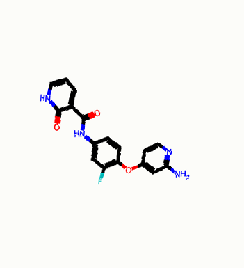 Nc1cc(Oc2ccc(NC(=O)c3ccc[nH]c3=O)cc2F)ccn1